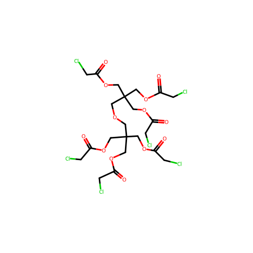 O=C(CCl)OCC(COCC(COC(=O)CCl)(COC(=O)CCl)COC(=O)CCl)(COC(=O)CCl)COC(=O)CCl